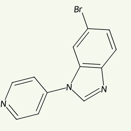 Brc1ccc2ncn(-c3ccncc3)c2c1